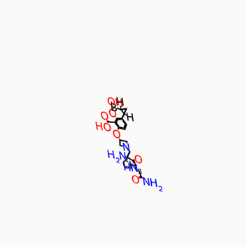 CC(N)(CN1CC(Oc2ccc3c(c2C(=O)O)OB(O)[C@@H]2C[C@H]32)C1)C(=O)NCC(N)=O